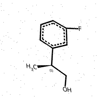 C[C@H](CO)c1cccc(F)c1